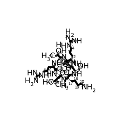 CC(=O)N[C@@H](CCCNC(=N)N)C(=O)N[C@H](C(=O)N[C@@H](CCCCN)C(=O)N[C@@H](CO)C(=O)N[C@@H](CCCNC(=N)N)C(=O)N[C@H](C(=O)O)[C@@H](C)O)[C@@H](C)O